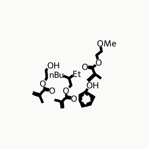 C=C(C)C(=O)OCC(CC)CCCC.C=C(C)C(=O)OCCO.C=C(C)C(=O)OCCOC.Oc1ccccc1